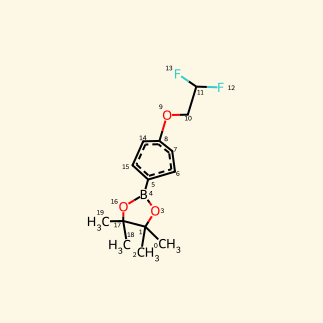 CC1(C)OB(c2ccc(OCC(F)F)cc2)OC1(C)C